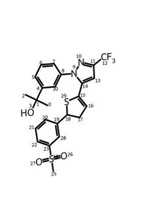 CC(C)(O)c1cccc(-n2nc(C(F)(F)F)cc2C2=CCC(c3cccc(S(C)(=O)=O)c3)S2)c1